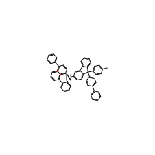 Cc1ccc(C2(c3ccc(-c4ccccc4)cc3)c3ccccc3-c3cc(N(c4ccc(-c5ccccc5)cc4)c4ccccc4-c4ccccc4)ccc32)cc1